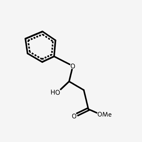 COC(=O)CC(O)Oc1ccccc1